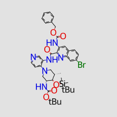 C[C@H]1CN(c2ccncc2NC(=O)c2nc3cc(Br)ccc3cc2NC(=O)OCc2ccccc2)C[C@@H](NC(=O)OC(C)(C)C)[C@@H]1O[Si](C)(C)C(C)(C)C